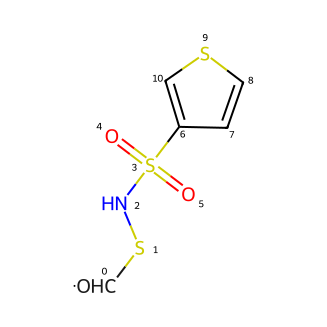 O=[C]SNS(=O)(=O)c1ccsc1